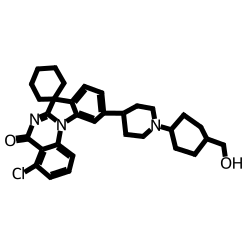 O=c1nc2n(c3cccc(Cl)c13)-c1cc(C3CCN(C4CCC(CO)CC4)CC3)ccc1C21CCCCC1